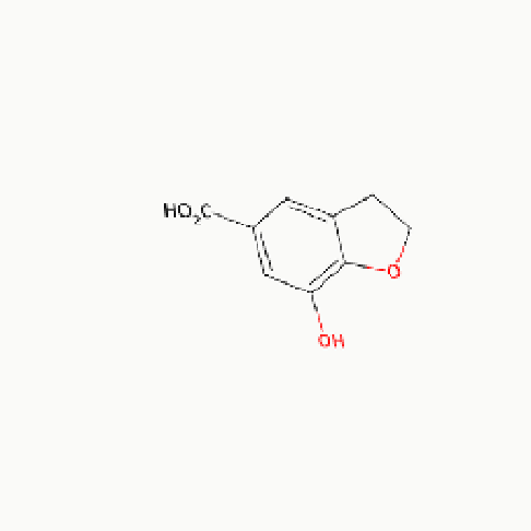 O=C(O)c1cc(O)c2c(c1)CCO2